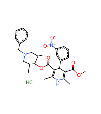 COC(=O)C1=C(C)NC(C)=C(C(=O)OC2C(C)CN(Cc3ccccc3)CC2C)C1c1cccc([N+](=O)[O-])c1.Cl